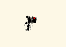 C#CCOc1cc(-n2nc(C(C)(C)C)oc2=O)c(Cl)cc1Cl.CCC(CC)Nc1c([N+](=O)[O-])cc(C)c(C)c1[N+](=O)[O-].O=C(O)CNCP(=O)(O)O